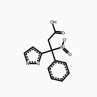 O=C(O)CC(c1ccccc1)(c1ccno1)[N+](=O)[O-]